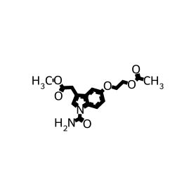 COC(=O)Cc1cn(C(N)=O)c2ccc(OCCOC(C)=O)cc12